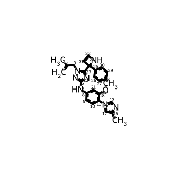 C=C(C)Cn1nc(Nc2ccc(-n3cnc(C)c3)c(OC)c2)nc1C1(c2ccccc2)C=CN1